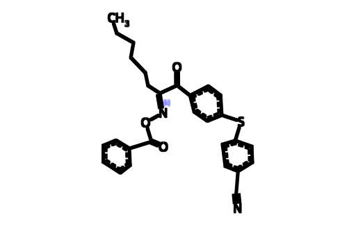 CCCCCC/C(=N\OC(=O)c1ccccc1)C(=O)c1ccc(Sc2ccc(C#N)cc2)cc1